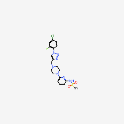 CC(C)S(=O)(=O)Nc1cccc(N2CCN(Cc3cn(-c4ccc(Cl)cc4F)nn3)CC2)n1